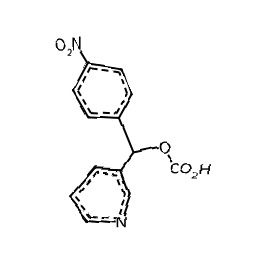 O=C(O)OC(c1ccc([N+](=O)[O-])cc1)c1cccnc1